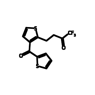 O=C(c1cccs1)c1ccsc1CCC(=O)C(F)(F)F